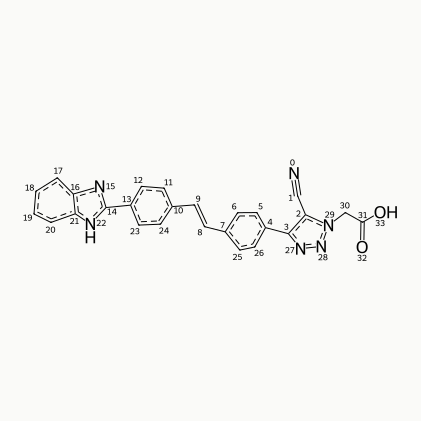 N#Cc1c(-c2ccc(C=Cc3ccc(-c4nc5ccccc5[nH]4)cc3)cc2)nnn1CC(=O)O